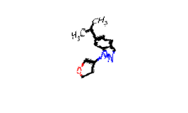 CC(C)c1ccc2cnn(C3CCOC3)c2c1